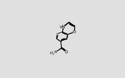 NC(=O)c1cnc2c(c1)OC=CN2